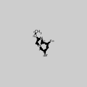 COc1cn2cc(Br)cc(F)c2n1